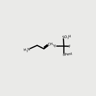 C=CCN.CCCCCC(F)(F)S(=O)(=O)O